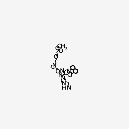 COC(=O)CCOCCCN1CCCC1COc1nc2c(c(N3CCNC(CC#N)C3)n1)CCN(c1cccc3cccc(Cl)c13)C2